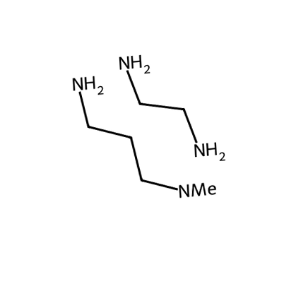 CNCCCN.NCCN